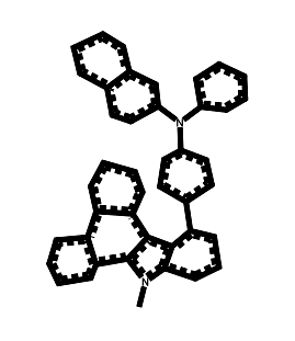 Cn1c2cccc(-c3ccc(N(c4ccccc4)c4ccc5ccccc5c4)cc3)c2c2c3ccccc3c3ccccc3c21